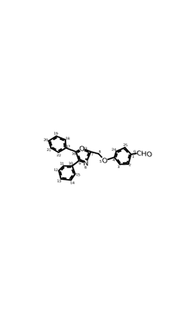 O=Cc1ccc(OCc2nc(-c3ccccc3)c(-c3ccccc3)o2)cc1